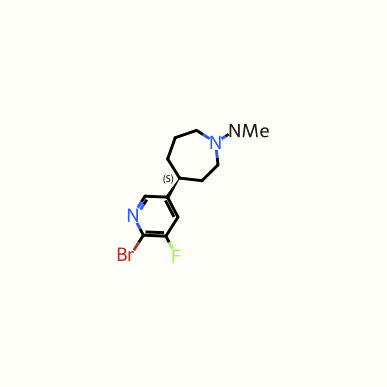 CNN1CCC[C@H](c2cnc(Br)c(F)c2)CC1